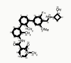 COc1cc(-c2cccc(-c3cccc(NC(=O)c4cncn(C)c4=O)c3C)c2C)cc(F)c1CN[C@@H]1CC[C@H]1O